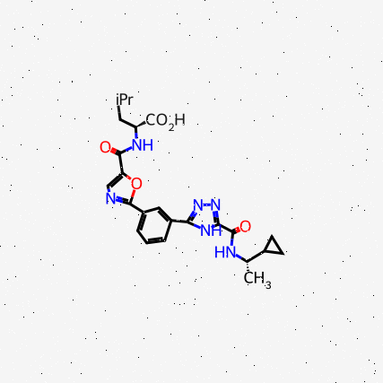 CC(C)C[C@H](NC(=O)c1cnc(-c2cccc(-c3nnc(C(=O)N[C@@H](C)C4CC4)[nH]3)c2)o1)C(=O)O